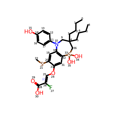 CCCCC1(CCCC)CN(c2ccc(O)cc2)c2cc(SC)c(O/C=C(\F)C(=O)O)cc2S(O)(O)C1